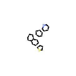 [c]1cccc2ccccc12.[c]1ccccc1.[c]1cccs1.c1ccncc1